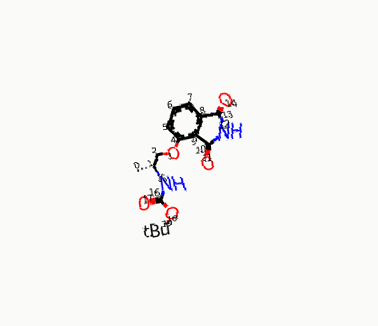 C[C@H](COc1cccc2c1C(=O)NC2=O)NC(=O)OC(C)(C)C